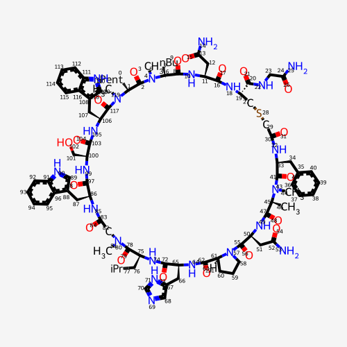 CCCCC[C@H]1C(=O)N(C)[C@@H](CCCC)C(=O)N[C@@H](CC(N)=O)C(=O)N[C@H](C(=O)NCC(N)=O)CSCC(=O)N[C@@H](Cc2ccccc2)C(=O)N(C)[C@@H](C)C(=O)N[C@@H](CC(N)=O)C(=O)N2CCC[C@H]2C(=O)N[C@@H](Cc2cnc[nH]2)C(=O)N[C@@H](CC(C)C)C(=O)N(C)CC(=O)N[C@@H](Cc2c[nH]c3ccccc23)C(=O)N[C@@H](CO)C(=O)N[C@@H](Cc2c[nH]c3ccccc23)C(=O)N1C